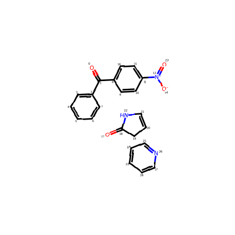 O=C(c1ccccc1)c1ccc([N+](=O)[O-])cc1.O=C1CC=CN1.c1ccncc1